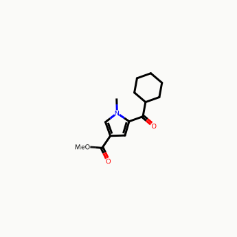 COC(=O)c1cc(C(=O)C2CCCCC2)n(C)c1